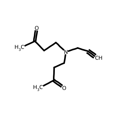 C#CCN(CCC(C)=O)CCC(C)=O